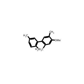 COc1cc(C)c(-c2cc(C)ccc2C)cc1C